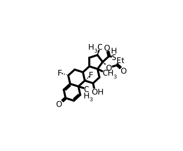 CCC(=O)O[C@@]1(C(=O)S)[C@H](C)CC2C3C[C@@H](F)C4=CC(=O)C=CC4(C)[C@]3(F)C(O)CC21C